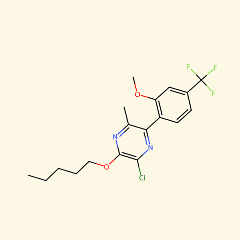 CCCCCOc1nc(C)c(-c2ccc(C(F)(F)F)cc2OC)nc1Cl